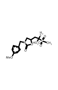 COc1ccc(CN2CC(CC(C)(C(=O)O)S(C)(=O)=O)OC2=O)cc1